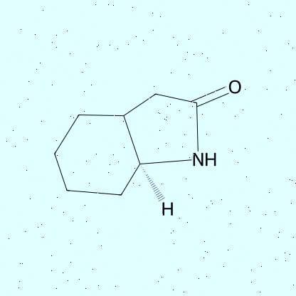 O=C1CC2CCCC[C@@H]2N1